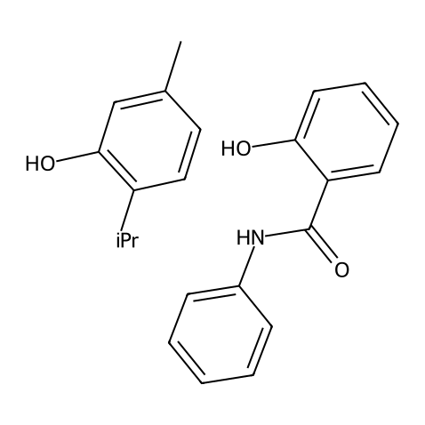 Cc1ccc(C(C)C)c(O)c1.O=C(Nc1ccccc1)c1ccccc1O